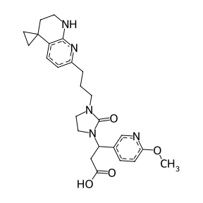 COc1ccc(C(CC(=O)O)N2CCN(CCCc3ccc4c(n3)NCCC43CC3)C2=O)cn1